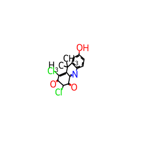 CC1(C)C2=C(Cl)C(=O)C(Cl)C(=O)C2=Nc2ccc(O)cc21